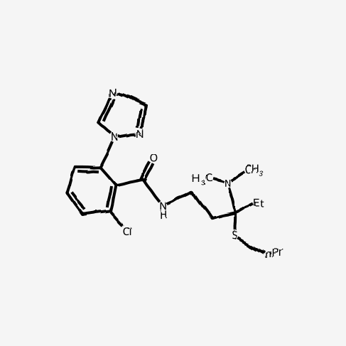 CCCSC(CC)(CCNC(=O)c1c(Cl)cccc1-n1cncn1)N(C)C